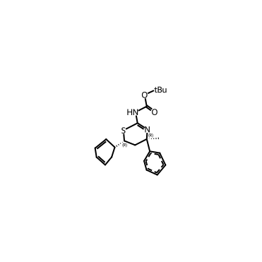 CC(C)(C)OC(=O)NC1=N[C@@](C)(c2ccccc2)C[C@H](C2C=CC=CC2)S1